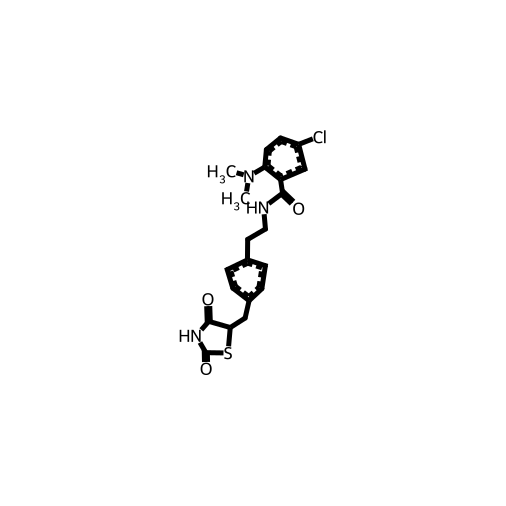 CN(C)c1ccc(Cl)cc1C(=O)NCCc1ccc(CC2SC(=O)NC2=O)cc1